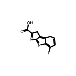 O=C(O)C1=NC2=NC3=C(F)C=CCC3=C2C1